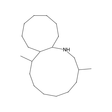 CC1CCCCCCC(C)C2CCCCCCCC2NC1